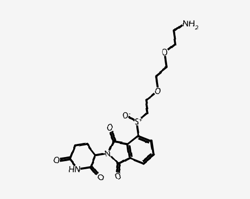 NCCOCCOCC[S+]([O-])c1cccc2c1C(=O)N(C1CCC(=O)NC1=O)C2=O